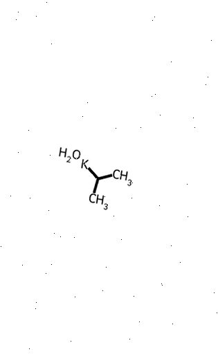 C[CH](C)[K].O